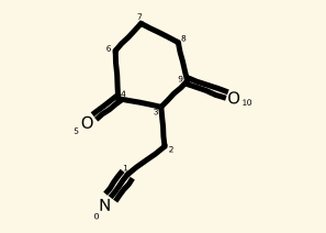 N#CCC1C(=O)CCCC1=O